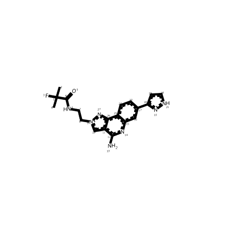 CC(C)(F)C(=O)NCCn1cc2c(N)nc3cc(-c4cc[nH]n4)ccc3c2n1